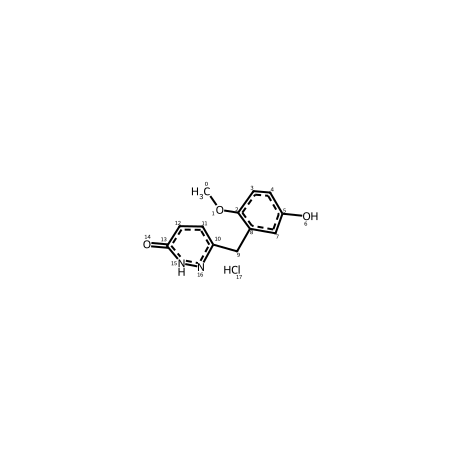 COc1ccc(O)cc1Cc1ccc(=O)[nH]n1.Cl